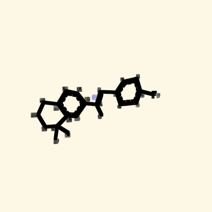 C/C(=C\c1ccc(F)cc1)c1ccc2c(c1)C(C)(C)CCC2